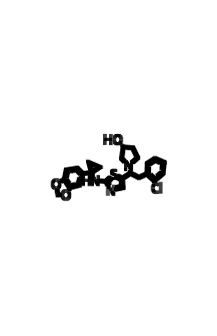 O[C@@H]1CCN(C(Cc2ccccc2Cl)c2cnc(NC3(c4ccc5c(c4)OCO5)CC3)s2)C1